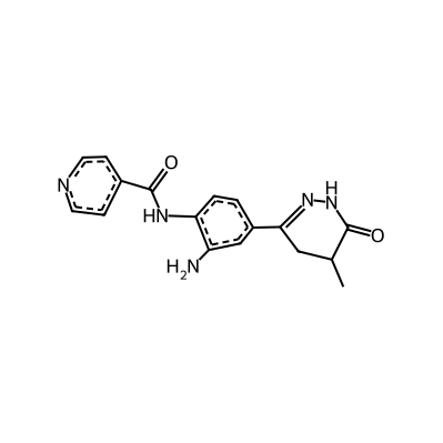 CC1CC(c2ccc(NC(=O)c3ccncc3)c(N)c2)=NNC1=O